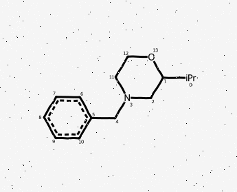 C[C](C)C1CN(Cc2ccccc2)CCO1